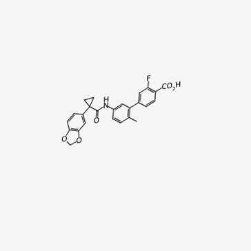 Cc1ccc(NC(=O)C2(c3ccc4c(c3)OCO4)CC2)cc1-c1ccc(C(=O)O)c(F)c1